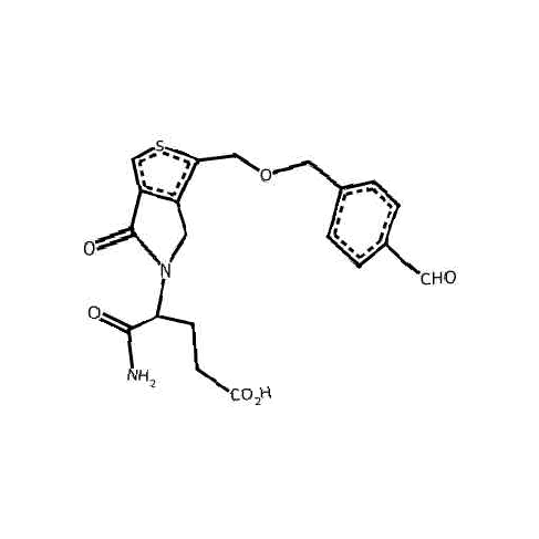 NC(=O)C(CCC(=O)O)N1Cc2c(csc2COCc2ccc(C=O)cc2)C1=O